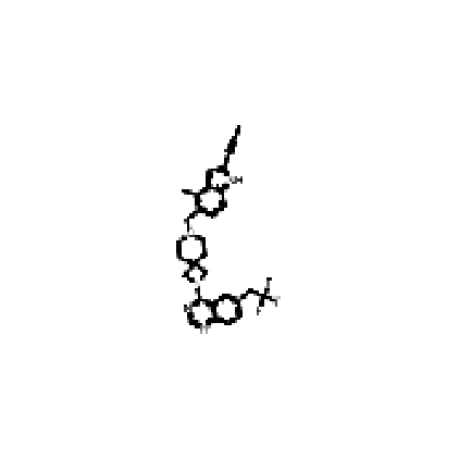 CC#Cc1cc2c(C)c(CN3CCC4(CC3)CN(c3ncnc5ccc(CC(F)(F)F)cc35)C4)ccc2[nH]1